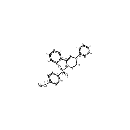 COc1ccc(S(=O)(=O)N2C[CH]C(c3ccccc3)C=C2c2ccccc2)cc1